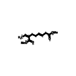 CC=C(CCC=CCC(=O)OC)C(=O)OC